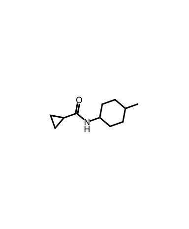 CC1CCC(NC(=O)C2CC2)CC1